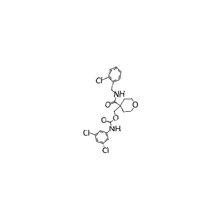 O=C(Nc1cc(Cl)cc(Cl)c1)OCC1(C(=O)NCc2ccccc2Cl)CCOCC1